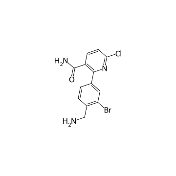 NCc1ccc(-c2nc(Cl)ccc2C(N)=O)cc1Br